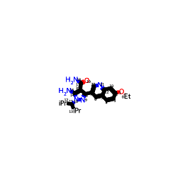 CCOc1ccc2cc(-c3nn(C(C(C)C)C(C)C)c(N)c3C(N)=O)cnc2c1